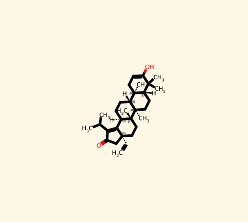 C=C[C@@]12CC[C@]3(C)[C@H](CC[C@@H]4[C@@]5(C)CC=C(O)C(C)(C)[C@@H]5CC[C@]43C)C1=C(C(C)C)C(=O)C2